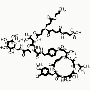 C=CCOC(=O)CCN(CCC(=O)N[C@H](C(=O)N[C@@H](CCC(=O)NC[C@H]1O[C@@H](OC)[C@H](O)[C@@H](O)[C@@H]1O)C(=O)NCc1ccc([C@H]2O[C@@H]2[C@@H](C)[C@@H]2C/C=C/C(=O)N[C@H](Cc3ccc(OC)c(Cl)c3)C(=O)NCC(C)(C)C(=O)O[C@@H](CC(C)C)C(=O)O2)cc1)C(C)C)C(=O)CCC(=O)NCCS(=O)(=O)O